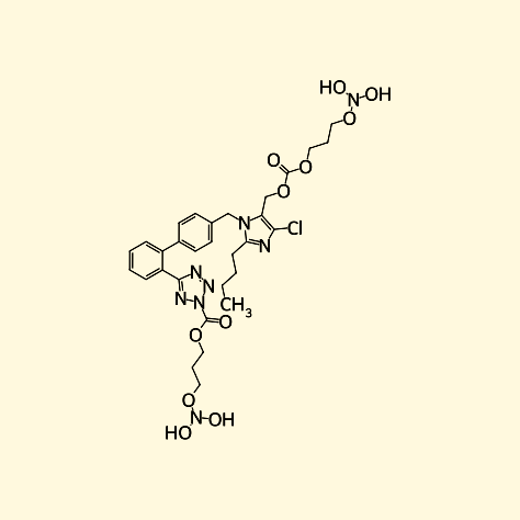 CCCCc1nc(Cl)c(COC(=O)OCCCON(O)O)n1Cc1ccc(-c2ccccc2-c2nnn(C(=O)OCCCON(O)O)n2)cc1